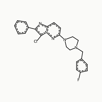 Fc1ccc(CN2CCN(c3ccc4nc(-c5ccccc5)c(Cl)n4n3)CC2)cc1